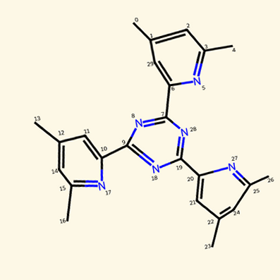 Cc1cc(C)nc(-c2nc(-c3cc(C)cc(C)n3)nc(-c3cc(C)cc(C)n3)n2)c1